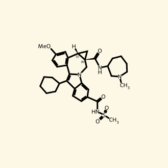 COc1ccc2c(c1)[C@@H]1C[C@]1(C(=O)NC1CCCCN(C)C1)Cn1c-2c(C2CCCCC2)c2ccc(C(=O)NS(C)(=O)=O)cc21